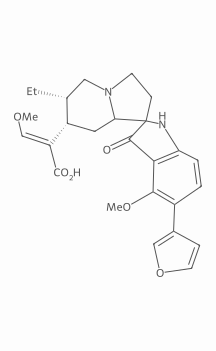 CC[C@@H]1CN2CCC3(Nc4ccc(-c5ccoc5)c(OC)c4C3=O)C2C[C@@H]1/C(=C\OC)C(=O)O